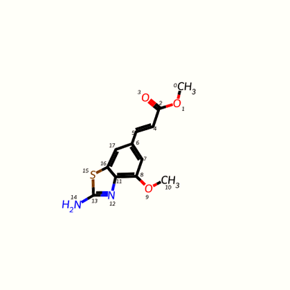 COC(=O)/C=C/c1cc(OC)c2nc(N)sc2c1